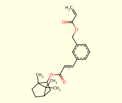 C=CC(=O)OCc1cccc(/C=C/C(=O)OC2CC3CCC2(C)C3(C)C)c1